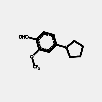 O=Cc1ccc(N2CCCC2)cc1OC(F)(F)F